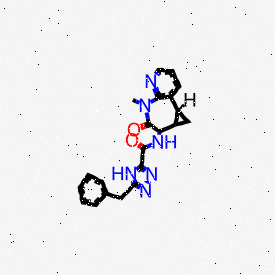 CN1C(=O)C(NC(=O)c2nnc(Cc3ccccc3)[nH]2)C2C[C@H]2c2cccnc21